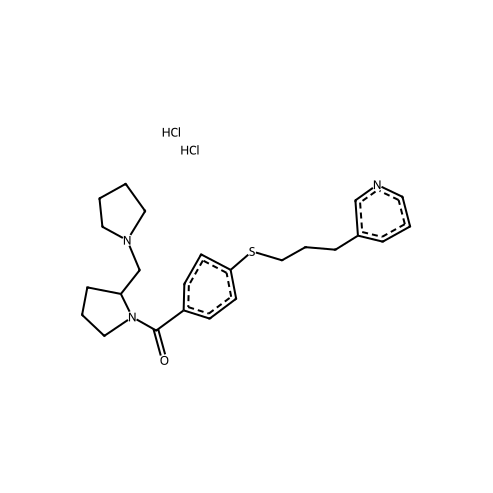 Cl.Cl.O=C(c1ccc(SCCCc2cccnc2)cc1)N1CCCC1CN1CCCC1